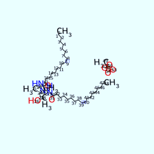 CCCCCCCC/C=C\CCCCCCCC(=O)NC(C)[N+](C)(CCO)C(C)NC(=O)CCCCCCC/C=C\CCCCCCCC.COS(=O)(=O)[O-]